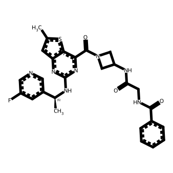 Cc1cc2nc(N[C@@H](C)c3cncc(F)c3)nc(C(=O)N3CC(NC(=O)CNC(=O)c4ccccc4)C3)c2s1